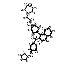 O=C(c1ccc(OC2CCCC2)cc1)c1ccc2ccccc2c1-c1ccc(OCCN2CCOCC2)cc1